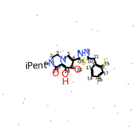 CCCC(C)N1CCn2cc(-c3nnc(Cc4ccc(F)cc4F)s3)c(=O)c(O)c2C1=O